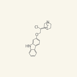 ClC(COc1ccc2c(c1)[nH]c1ccccc12)=C1CN2CCC1CC2